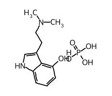 CN(C)CCc1c[nH]c2cccc(O)c12.O=P(O)(O)O